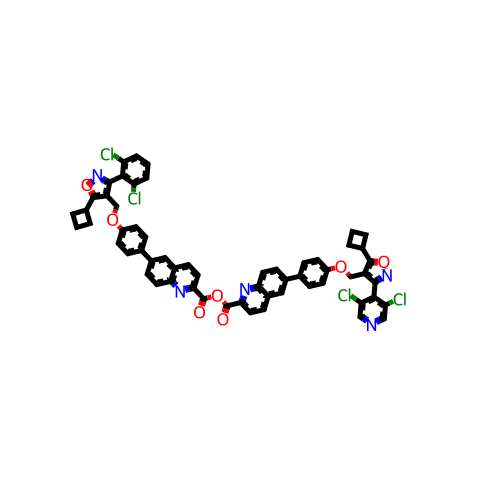 O=C(OC(=O)c1ccc2cc(-c3ccc(OCc4c(-c5c(Cl)cncc5Cl)noc4C4CCC4)cc3)ccc2n1)c1ccc2cc(-c3ccc(OCc4c(-c5c(Cl)cccc5Cl)noc4C4CCC4)cc3)ccc2n1